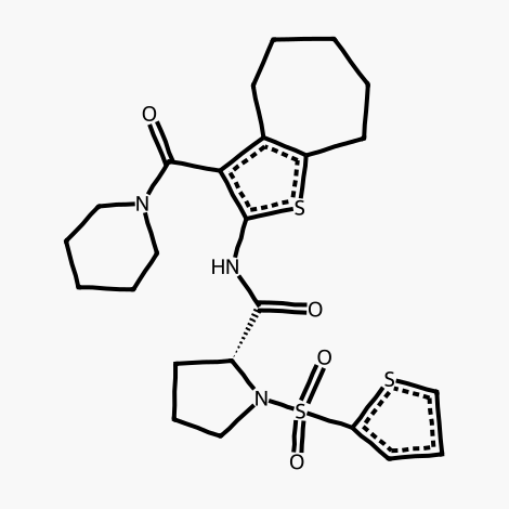 O=C(Nc1sc2c(c1C(=O)N1CCCCC1)CCCCC2)[C@H]1CCCN1S(=O)(=O)c1cccs1